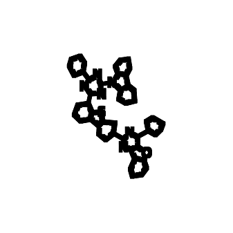 c1ccc(-c2nc(-c3cccc4c3sc3cc(-c5nc(-c6ccccc6)c6oc7ccccc7c6n5)ccc34)nc(-n3c4ccccc4c4ccccc43)n2)cc1